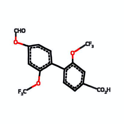 O=COc1ccc(-c2ccc(C(=O)O)cc2OC(F)(F)F)c(OC(F)(F)F)c1